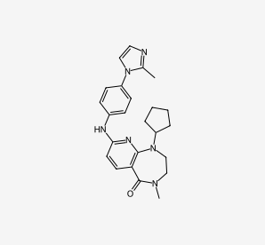 Cc1nccn1-c1ccc(Nc2ccc3c(n2)N(C2CCCC2)CCN(C)C3=O)cc1